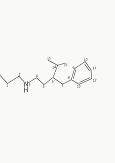 CC[CH]NCCC(Cc1ccccc1)C(C)C